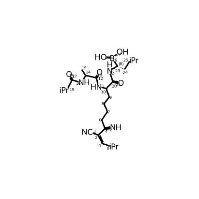 CC(C)C=C(C#N)C(=N)CCCCC(NC(=O)C(C)NC(=O)C(C)C)C(=O)N[C@@H](CC(C)C)B(O)O